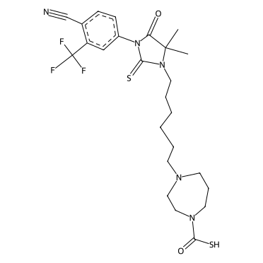 CC1(C)C(=O)N(c2ccc(C#N)c(C(F)(F)F)c2)C(=S)N1CCCCCCN1CCCN(C(=O)S)CC1